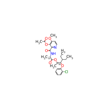 CCC(CC)[C@@H](Oc1ccccc1Cl)[C@H](C)OC(=O)[C@H](C)NC(=O)c1nccc(OC)c1OC(C)=O